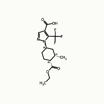 CCOC(=O)[C@@H]1CC[C@@H](n2ncc(C(=O)O)c2C(F)(F)F)C[C@@H]1C